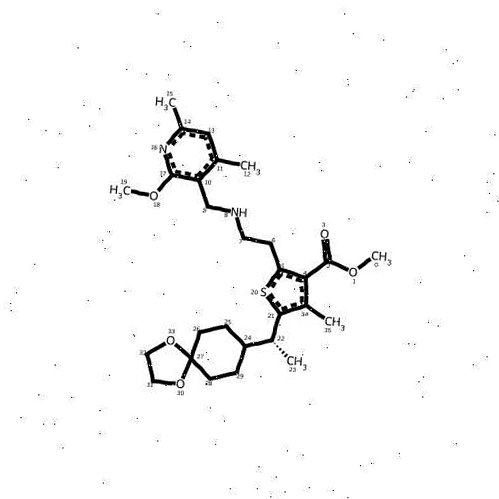 COC(=O)c1c(CCNCc2c(C)cc(C)nc2OC)sc([C@H](C)C2CCC3(CC2)OCCO3)c1C